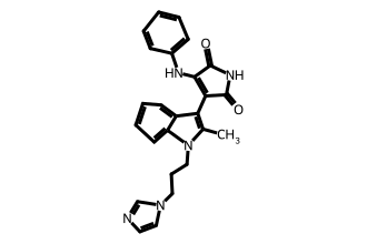 Cc1c(C2=C(Nc3ccccc3)C(=O)NC2=O)c2ccccc2n1CCCn1ccnc1